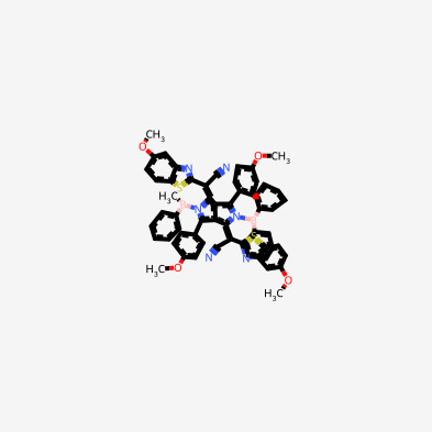 COc1ccc(-c2c3/c(=C(\C#N)c4nc5cc(OC)ccc5s4)n(B(c4ccccc4)c4ccccc4)c(-c4ccc(OC)cc4)c3/c(=C(\C#N)c3nc4cc(OC)ccc4s3)n2B(C)c2ccccc2)cc1